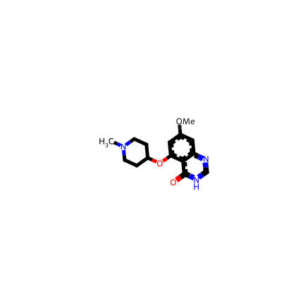 COc1cc(OC2CCN(C)CC2)c2c(=O)[nH]cnc2c1